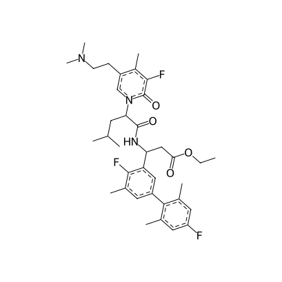 CCOC(=O)CC(NC(=O)C(CC(C)C)n1cc(CCN(C)C)c(C)c(F)c1=O)c1cc(-c2c(C)cc(F)cc2C)cc(C)c1F